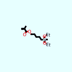 C=C(C)C(=O)OCCCCC[Si](C)(OCC)OCC